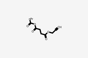 C#CCOC(=O)CCC(=O)OC(=O)CCC